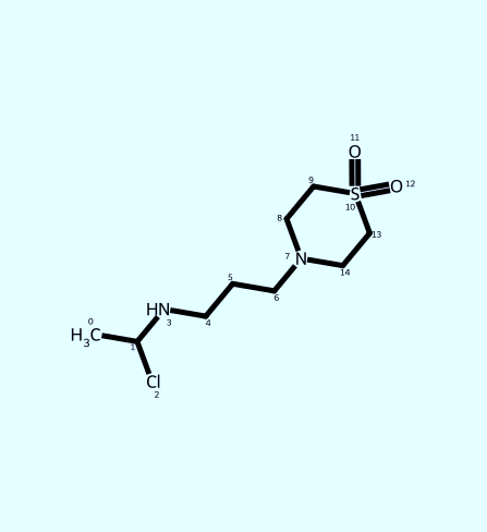 CC(Cl)NCCCN1CCS(=O)(=O)CC1